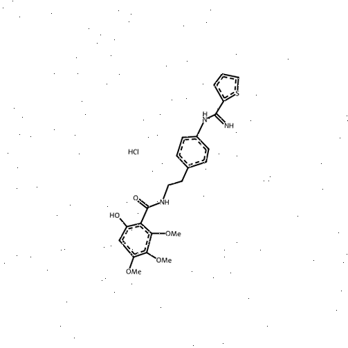 COc1cc(O)c(C(=O)NCCc2ccc(NC(=N)c3cccs3)cc2)c(OC)c1OC.Cl